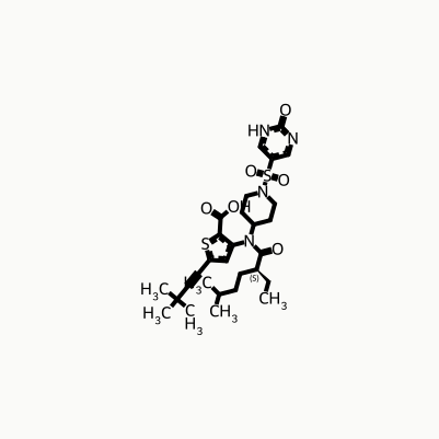 CC[C@@H](CCC(C)C)C(=O)N(c1cc(C#CC(C)(C)C)sc1C(=O)O)C1CCN(S(=O)(=O)c2cnc(=O)[nH]c2)CC1